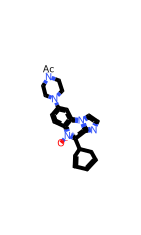 CC(=O)N1CCN(c2ccc3c(c2)n2ccnc2c(C2C=CC=CC2)[n+]3[O-])CC1